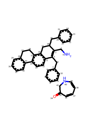 NCC1=C(Cc2ccccc2)c2ccc3c(c2CC1Cc1ccccc1)CCc1ccccc1-3.O=C1C=CC=CNC1